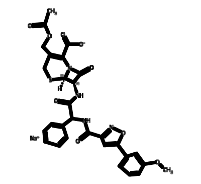 COc1cccc(-c2cc(C(=O)NC(C(=O)N[C@@H]3C(=O)N4C(C(=O)[O-])=C(COC(C)=O)CS[C@H]34)c3ccccc3)no2)c1.[Na+]